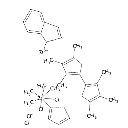 CC1=C(C)C(C)=C(C2=C(C)C(C)=C(C)C2)C1.[CH3][Zr]([CH3])([CH3])([CH3])([Cl])([Cl])[C]1=CC=CC1.[Cl-].[Cl-].[Zr+2][CH]1C=Cc2ccccc21